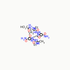 CCn1nc(C)cc1C(=O)Nc1nc2cc(C(N)=O)cc(OCCCOC[C@H](N)C(=O)O)c2n1CCC[C@H]1COc2cc(C(N)=O)cc3nc(NC(=O)c4cc(C)nn4CC)n1c23